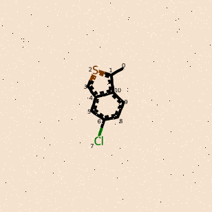 Cc1scc2cc(Cl)ccc12